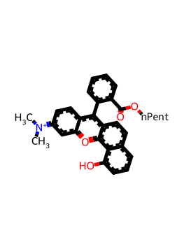 CCCCCOC(=O)c1ccccc1-c1c2ccc(=[N+](C)C)cc-2oc2c1ccc1cccc(O)c12